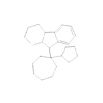 c1ccc2c(c1)C1CCCNC1C2C1(C2CCCC2)CCCCCC1